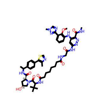 CNC(=O)c1nnc(NC(=O)CNC(=O)CCCCCCC(=O)NC(C(=O)N2C[C@H](O)C[C@H]2C(=O)NC(C)c2ccc(-c3scnc3C)cc2)C(C)(C)C)cc1Nc1cccc(-c2ncn(C)n2)c1OC